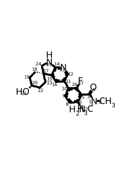 CN(C)C(=O)c1c(N)ccc(-c2cnc3c(c2)[C@]2(CC[C@H](O)CC2)CN3)c1F